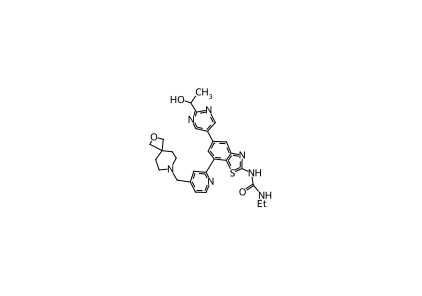 CCNC(=O)Nc1nc2cc(-c3cnc(C(C)O)nc3)cc(-c3cc(CN4CCC5(CC4)COC5)ccn3)c2s1